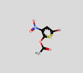 CC(=O)Oc1sc(Br)cc1[N+](=O)[O-]